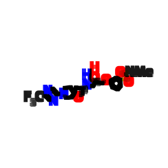 CNS(=O)(=O)c1cccc(OC[C@@H](O)CN[C@H]2COC3(CCN(c4cnc(C(F)(F)F)cn4)CC3)C2)c1